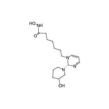 O=C(CCCCCCN1C=CC=N[C@@H]1N1CCCC(O)C1)NO